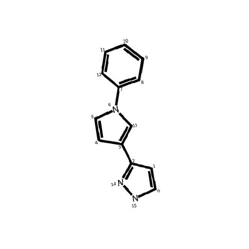 C1=CC(c2ccn(-c3ccccc3)c2)=N[N]1